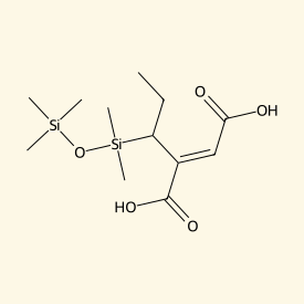 CCC(/C(=C\C(=O)O)C(=O)O)[Si](C)(C)O[Si](C)(C)C